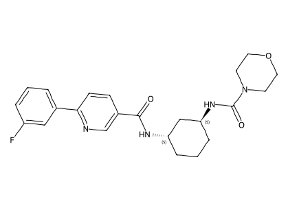 O=C(N[C@H]1CCC[C@H](NC(=O)N2CCOCC2)C1)c1ccc(-c2cccc(F)c2)nc1